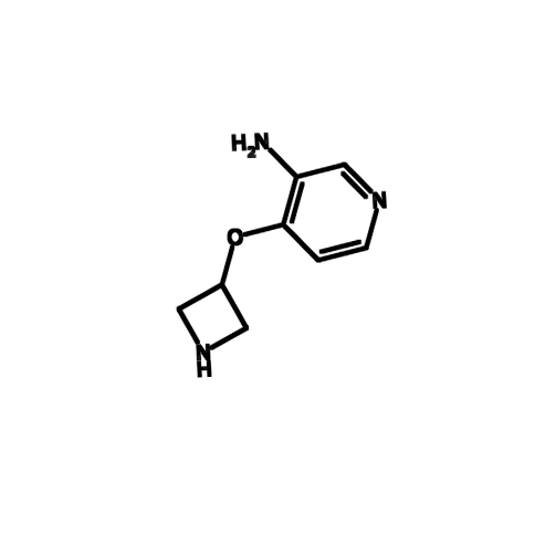 Nc1cnccc1OC1CNC1